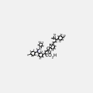 Cc1ccc(/C(=C/CN2CCCC2)c2cccc(C(CC(=O)Oc3cccc(CCC(c4ccc(C)cc4)N(C)C)n3)C(=O)O)c2)cc1